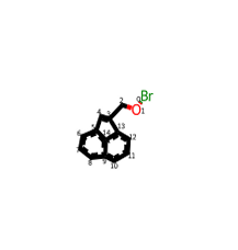 BrOCC1=Cc2cccc3cccc1c23